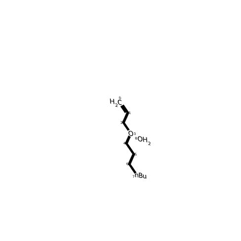 C=CCOCCCCCCC.O